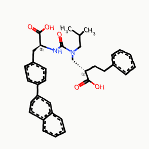 CC(C)CN(C[C@H](CCc1ccccc1)C(=O)O)C(=O)N[C@@H](Cc1ccc(-c2ccc3ccccc3c2)cc1)C(=O)O